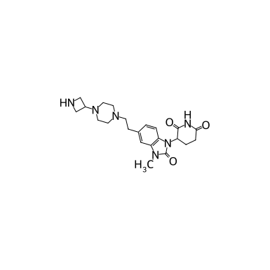 Cn1c(=O)n(C2CCC(=O)NC2=O)c2ccc(CCN3CCN(C4CNC4)CC3)cc21